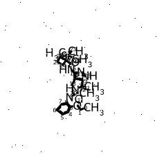 CCOc1ccccc1NC(=O)N1Cc2c(NC(=O)C3([Si](C)(C)C)CCC3)n[nH]c2C1(C)C